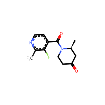 C[C@H]1CC(=O)CCN1C(=O)c1ccnc(C(F)(F)F)c1F